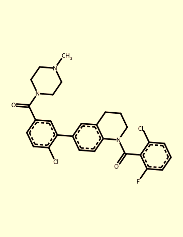 CN1CCN(C(=O)c2ccc(Cl)c(-c3ccc4c(c3)CCCN4C(=O)c3c(F)cccc3Cl)c2)CC1